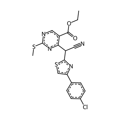 CCOC(=O)c1cnc(SC)nc1C(C#N)c1nc(-c2ccc(Cl)cc2)cs1